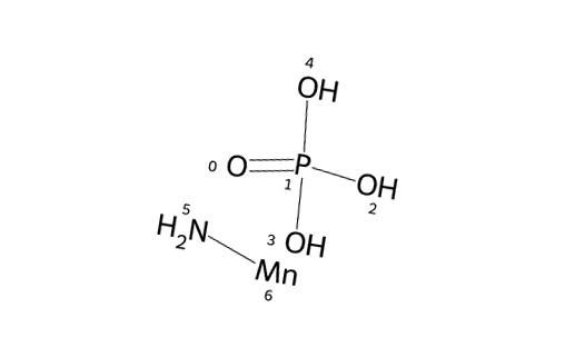 O=P(O)(O)O.[NH2][Mn]